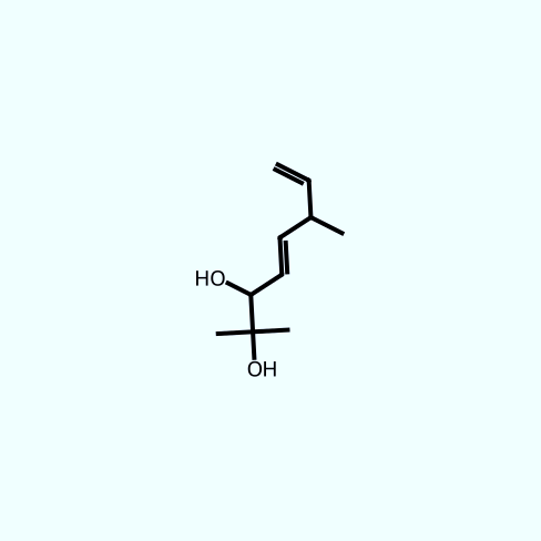 C=CC(C)C=CC(O)C(C)(C)O